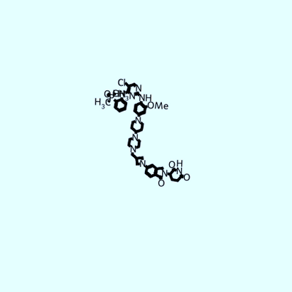 COc1cc(N2CCC(N3CCN(CC4CN(c5ccc6c(c5)CN(C5CCC(=O)NC5=O)C6=O)C4)CC3)CC2)ccc1Nc1ncc(Cl)c(Nc2ccccc2P(C)(C)=O)n1